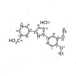 CCOc1ccc(-c2nc(-c3cncc(C(=O)O)c3)cs2)cc1OCC.Cl